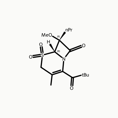 CCC[C@@]1(OC)C(=O)N2C(C(=O)C(C)(C)C)=C(C)CS(=O)(=O)[C@@H]21